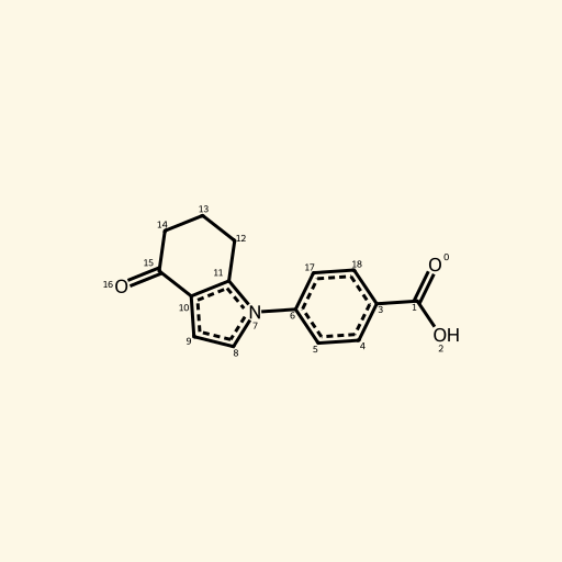 O=C(O)c1ccc(-n2ccc3c2CCCC3=O)cc1